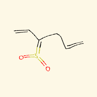 C=CCC(C=C)=S(=O)=O